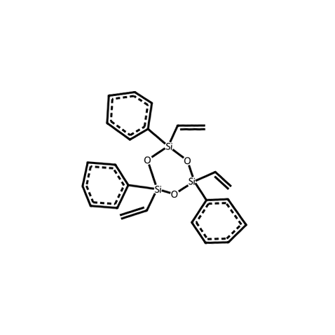 C=C[Si]1(c2ccccc2)O[Si](C=C)(c2ccccc2)O[Si](C=C)(c2ccccc2)O1